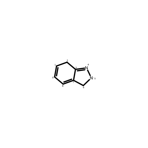 C1=CCC2=N[N]CC2=C1